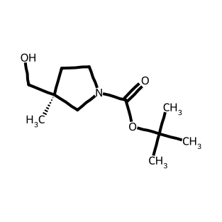 CC(C)(C)OC(=O)N1CC[C@](C)(CO)C1